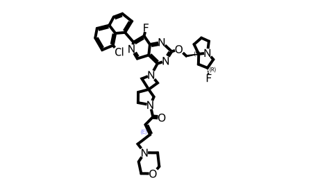 O=C(/C=C/CN1CCOCC1)N1CCC2(C1)CN(c1nc(OC[C@@]34CCCN3C[C@H](F)C4)nc3c(F)c(-c4cccc5cccc(Cl)c45)ncc13)C2